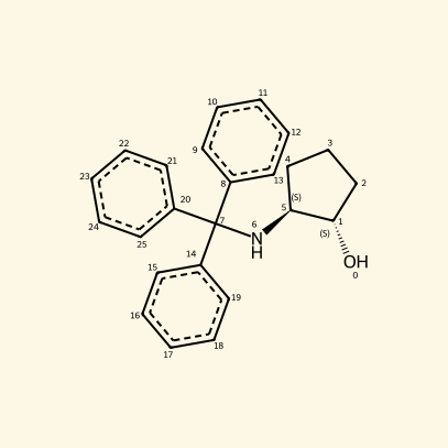 O[C@H]1CCC[C@@H]1NC(c1ccccc1)(c1ccccc1)c1ccccc1